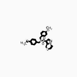 COc1ccc(CN(Cc2ccc(OC)cc2)S(=O)(=O)c2cnn3c2COCC3)cc1